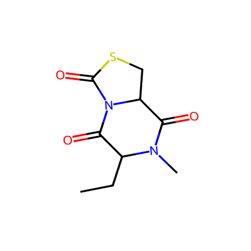 CCC1C(=O)N2C(=O)SCC2C(=O)N1C